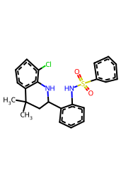 CC1(C)CC(c2ccccc2NS(=O)(=O)c2ccccc2)Nc2c(Cl)cccc21